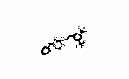 O=C1[C@H](OCCc2cc(C(F)(F)F)cc(C(F)(F)F)c2)OCCN1Cc1ccccc1